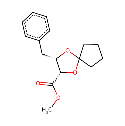 COC(=O)[C@H]1OC2(CCCC2)O[C@H]1Cc1ccccc1